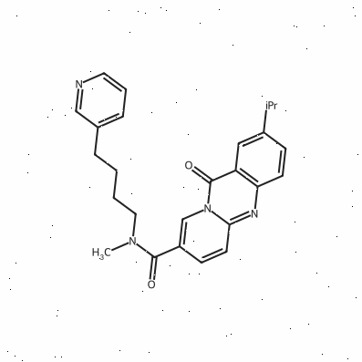 CC(C)c1ccc2nc3ccc(C(=O)N(C)CCCCc4cccnc4)cn3c(=O)c2c1